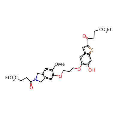 CCOC(=O)CCC(=O)c1cc2cc(OCCCOc3cc4c(cc3OC)CN(C(=O)CCC(=O)OCC)C4)c(O)cc2s1